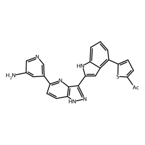 CC(=O)c1ccc(-c2cccc3[nH]c(-c4n[nH]c5ccc(-c6cncc(N)c6)nc45)cc23)s1